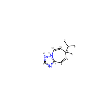 CC(C)C1(C)C=Cc2ncnn2C=C1